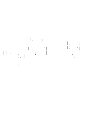 O=C(N[C@@H](Cn1cnc2c(NCCCCNc3nc4ccccc4[nH]3)ncnc21)C(=O)O)OCc1ccccc1